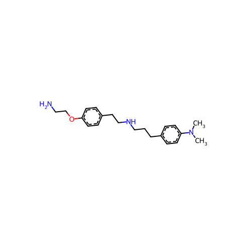 CN(C)c1ccc(CCCNCCc2ccc(OCCN)cc2)cc1